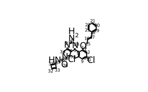 Nc1nc2c(c(-c3c(Cl)cc(Cl)cc3OC/C=C/c3ccccc3)n1)CN(C(=O)NC1=CC=C1)C2